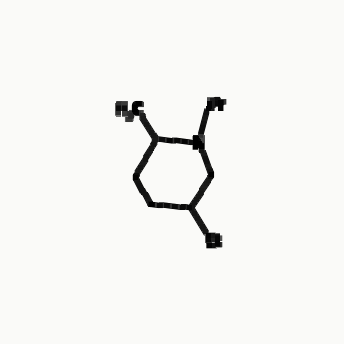 CCC1CCC(C)N(C(C)C)C1